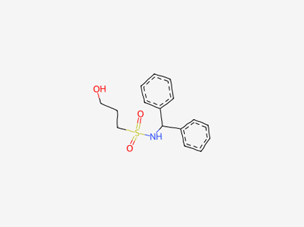 O=S(=O)(CCCO)NC(c1ccccc1)c1ccccc1